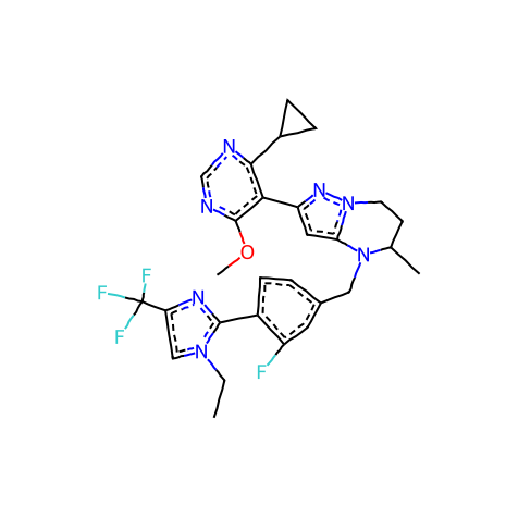 CCn1cc(C(F)(F)F)nc1-c1ccc(CN2c3cc(-c4c(OC)ncnc4C4CC4)nn3CCC2C)cc1F